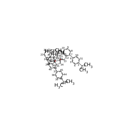 CC(C)c1ccc(-c2cccc3c2C=C[CH]3[Hf]([CH3])([CH3])(=[SiH2])([c]2ccccc2)([c]2ccccc2)[CH]2C=Cc3c(-c4ccc(C(C)C)cc4)cccc32)cc1